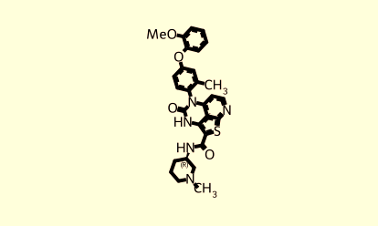 COc1ccccc1Oc1ccc(N2C(=O)Nc3c(C(=O)N[C@@H]4CCCN(C)C4)sc4nccc2c34)c(C)c1